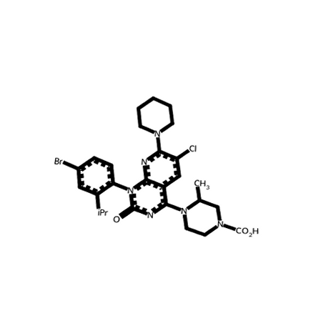 CC(C)c1cc(Br)ccc1-n1c(=O)nc(N2CCN(C(=O)O)CC2C)c2cc(Cl)c(N3CCCCC3)nc21